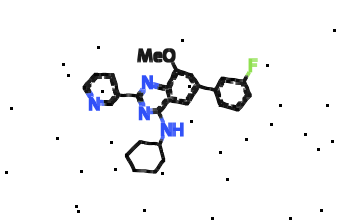 COc1cc(-c2cccc(F)c2)cc2c(NC3CCCCC3)nc(-c3cccnc3)nc12